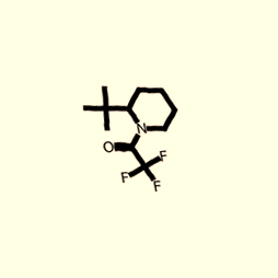 CC(C)(C)C1CCCCN1C(=O)C(F)(F)F